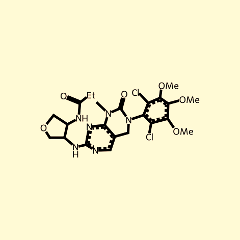 CCC(=O)NC1COCC1Nc1ncc2c(n1)N(C)C(=O)N(c1c(Cl)c(OC)c(OC)c(OC)c1Cl)C2